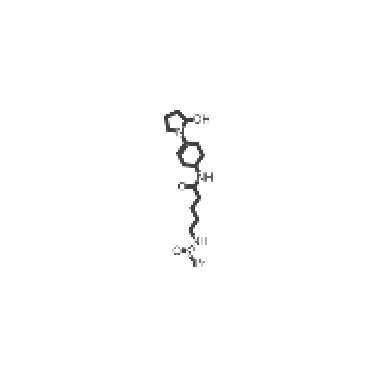 CC(C)[S+]([O-])NCCCCC(=O)NC1CC=C(N2CCCC2O)CC1